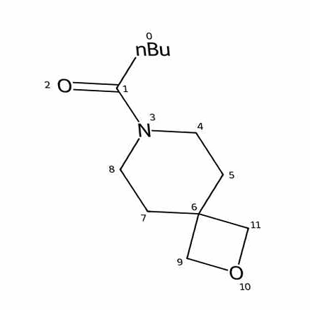 CCCCC(=O)N1CCC2(CC1)COC2